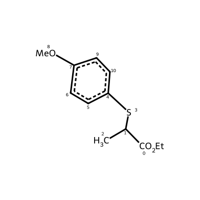 CCOC(=O)C(C)Sc1ccc(OC)cc1